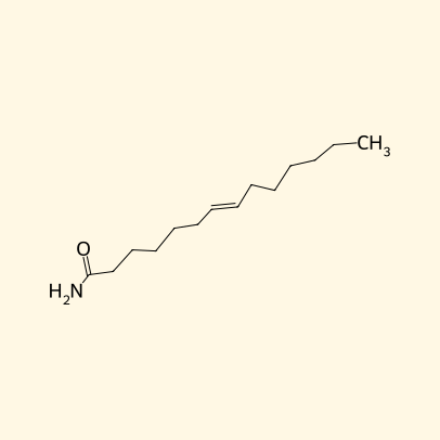 CCCCCC/C=C/CCCCCC(N)=O